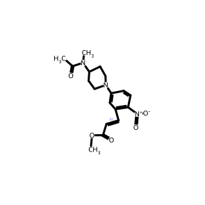 COC(=O)/C=C/c1cc(N2CCC(N(C)C(C)=O)CC2)ccc1[N+](=O)[O-]